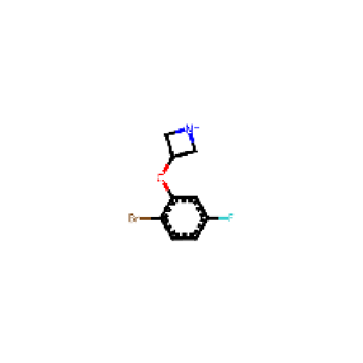 Fc1ccc(Br)c(OC2CNC2)c1